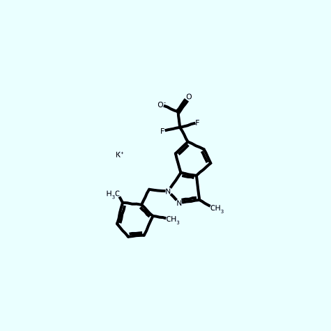 Cc1cccc(C)c1Cn1nc(C)c2ccc(C(F)(F)C(=O)[O-])cc21.[K+]